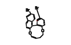 Brc1ccc2c3c(ccc2c1)O/C=C\CCOc1ccc2cc(Br)ccc2c1-3